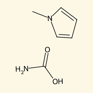 Cn1cccc1.NC(=O)O